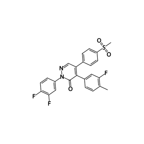 Cc1ccc(-c2c(-c3ccc(S(C)(=O)=O)cc3)cnn(-c3ccc(F)c(F)c3)c2=O)cc1F